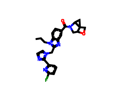 CCCn1c(Cn2ccnc2-c2cccc(F)n2)nc2cc(C(=O)N3CC4OCC45CC35)ccc21